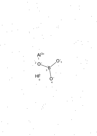 F.[Al+3].[O-]B([O-])[O-]